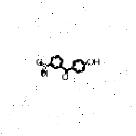 O=C(c1ccc(O)cc1)c1cccc([SH](=O)=O)c1